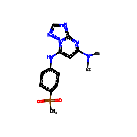 CCN(CC)c1cc(Nc2ccc(S(C)(=O)=O)cc2)n2ncnc2n1